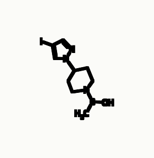 CB(O)N1CCC(n2cc(I)cn2)CC1